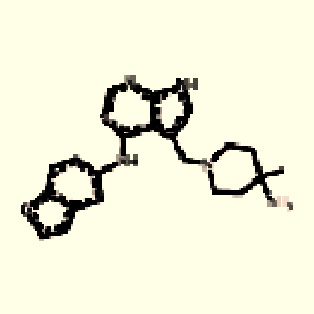 CC1(N)CCN(Cc2c[nH]c3ncnc(Nc4ccc5occc5c4)c23)CC1